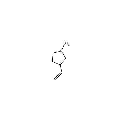 BN1CCC(C=O)C1